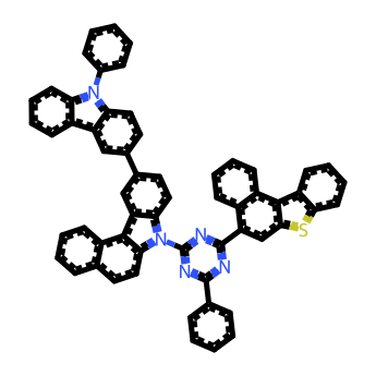 c1ccc(-c2nc(-c3cc4sc5ccccc5c4c4ccccc34)nc(-n3c4ccc(-c5ccc6c(c5)c5ccccc5n6-c5ccccc5)cc4c4c5ccccc5ccc43)n2)cc1